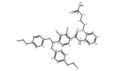 CCCc1ccc(CN(Cc2ccc(CCC)cc2)c2ccc(C(=O)Nc3ccccc3OCCCC(=O)O)c(C)c2C)cc1